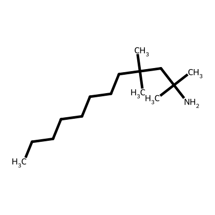 CCCCCCCCC(C)(C)CC(C)(C)N